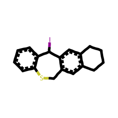 IC1c2cc3c(cc2CSc2ccccc21)CCCC3